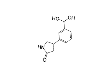 O=C1CC(c2cccc(C(O)O)c2)CN1